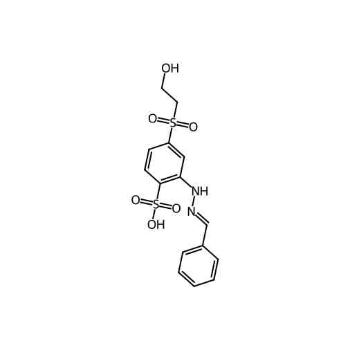 O=S(=O)(O)c1ccc(S(=O)(=O)CCO)cc1N/N=C/c1ccccc1